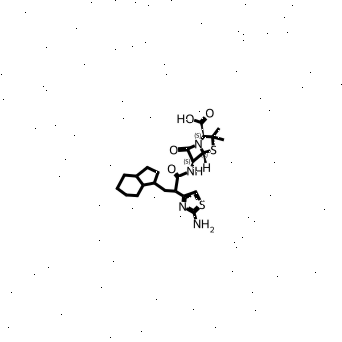 CC1(C)S[C@@H]2[C@@H](NC(=O)C(CC3CCC4CCCCC43)c3csc(N)n3)C(=O)N2[C@H]1C(=O)O